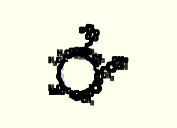 CO[C@H]1C[C@@H]2CC[C@@H](C)[C@@](O)(O2)C(=O)C(=O)N2CCCC[C@H]2C(=O)O[C@H]([C@H](C)C[C@@H]2CC[C@@H](O)[C@H](OC)C2)CC(=O)[C@H](C)/C=C(\C)[C@@H](OC(=O)CCC(=O)ON2C(=O)CCC2=O)[C@@H](OC)C(=O)[C@H](C)C[C@H](C)/C=C/C=C/C=C/1C